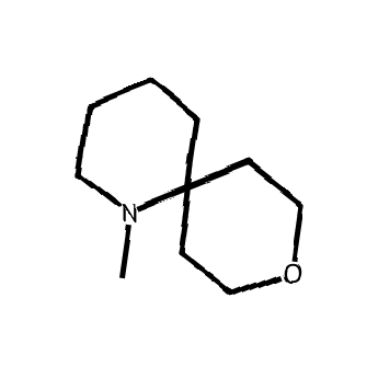 CN1CCCCC12CCOCC2